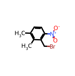 Cc1ccc([N+](=O)[O-])c(CBr)c1C